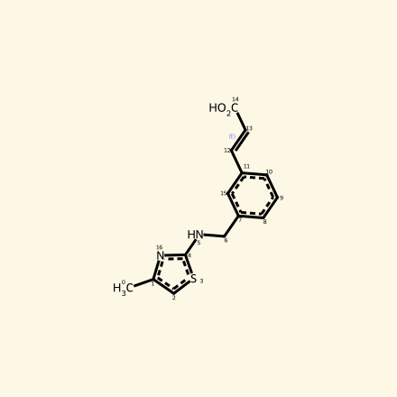 Cc1csc(NCc2cccc(/C=C/C(=O)O)c2)n1